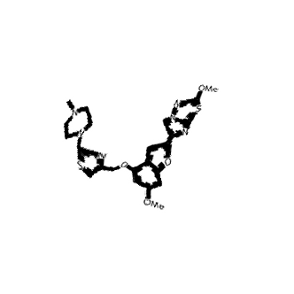 COc1cc(OCc2csc(N3CCN(C)CC3)n2)c2cc(-c3cn4nc(OC)sc4n3)oc2c1